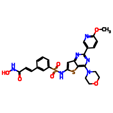 COc1ccc(-c2nc(N3CCOCC3)c3sc(NS(=O)(=O)c4cccc(/C=C/C(=O)NO)c4)cc3n2)cn1